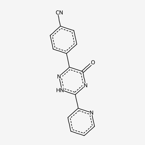 N#Cc1ccc(-c2n[nH]c(-c3ccccn3)nc2=O)cc1